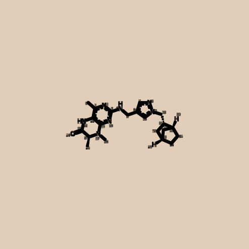 Cc1nc(NCc2cnn(C[C@H]3C[C@H]4CC[C@@H]3C4)c2)nc2c1NC(=O)[C@H](C)N2C